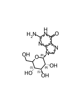 Nc1nc2c(ncn2[C@@H]2OC(CO)[C@@H](O)[C@H](O)[C@H]2O)c(=O)[nH]1